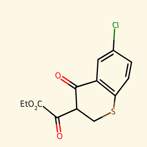 CCOC(=O)C(=O)C1CSc2ccc(Cl)cc2C1=O